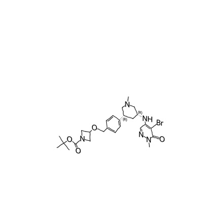 CN1C[C@H](Nc2cnn(C)c(=O)c2Br)C[C@H](c2ccc(COC3CN(C(=O)OC(C)(C)C)C3)cc2)C1